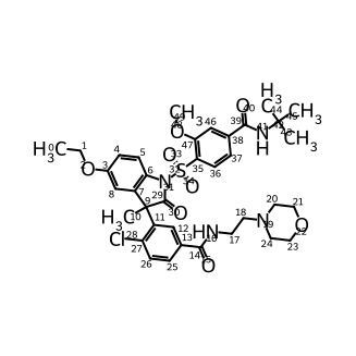 CCOc1ccc2c(c1)C(C)(c1cc(C(=O)NCCN3CCOCC3)ccc1Cl)C(=O)N2S(=O)(=O)c1ccc(C(=O)NC(C)(C)C)cc1OC